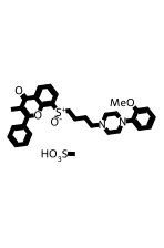 COc1ccccc1N1CCN(CCCC[S+]([O-])c2cccc3c(=O)c(C)c(-c4ccccc4)oc23)CC1.CS(=O)(=O)O